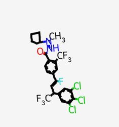 CN(NC(=O)c1ccc(C(F)=CC(c2cc(Cl)c(Cl)c(Cl)c2)C(F)(F)F)cc1C(F)(F)F)C1CCCC1